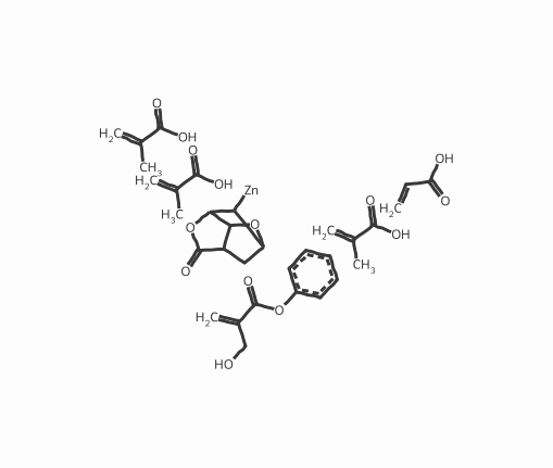 C=C(C)C(=O)O.C=C(C)C(=O)O.C=C(C)C(=O)O.C=C(CO)C(=O)Oc1ccccc1.C=CC(=O)O.O=C1OC2[CH]([Zn])C3CC1C2O3